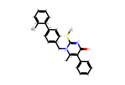 CCSc1nc(=O)c(-c2ccccc2)c(C)n1Cc1ccc(-c2ccccc2C#N)cc1